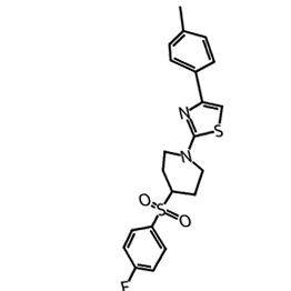 Cc1ccc(-c2csc(N3CCC(S(=O)(=O)c4ccc(F)cc4)CC3)n2)cc1